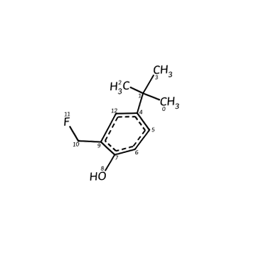 CC(C)(C)c1ccc(O)c(CF)c1